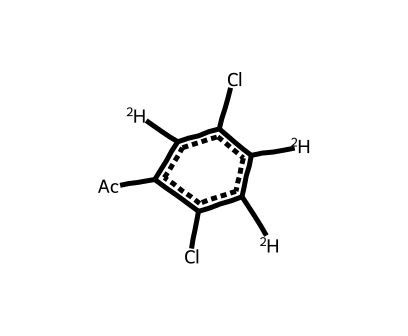 [2H]c1c([2H])c(Cl)c(C(C)=O)c([2H])c1Cl